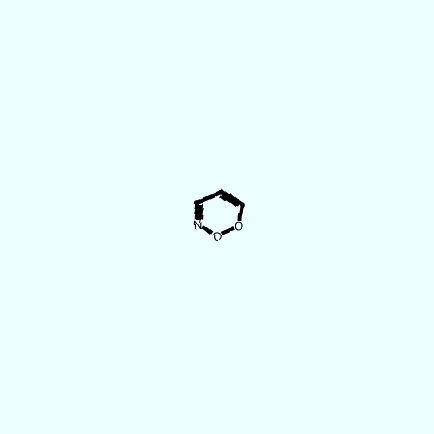 [C]1=COON=C1